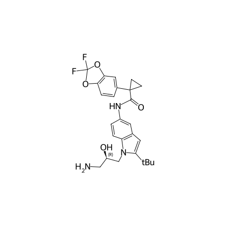 CC(C)(C)c1cc2cc(NC(=O)C3(c4ccc5c(c4)OC(F)(F)O5)CC3)ccc2n1C[C@H](O)CN